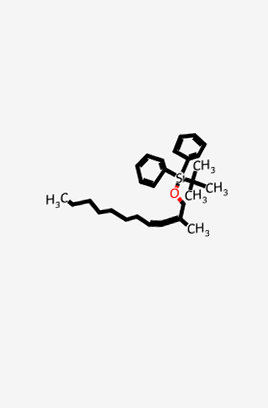 CCCCCCCC=C=C(C)CO[Si](c1ccccc1)(c1ccccc1)C(C)(C)C